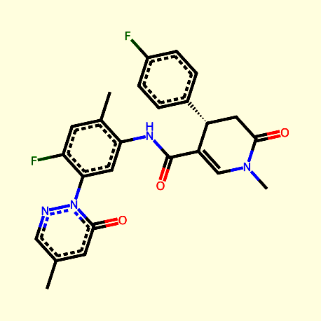 Cc1cnn(-c2cc(NC(=O)C3=CN(C)C(=O)C[C@H]3c3ccc(F)cc3)c(C)cc2F)c(=O)c1